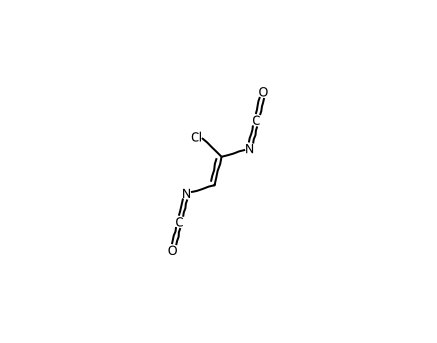 O=C=NC=C(Cl)N=C=O